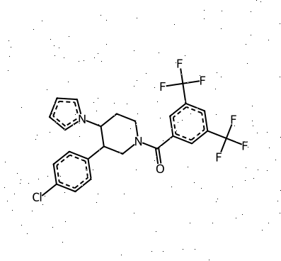 O=C(c1cc(C(F)(F)F)cc(C(F)(F)F)c1)N1CCC(n2cccc2)C(c2ccc(Cl)cc2)C1